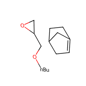 C1=C2CCC(C1)C2.CCCCOCC1CO1